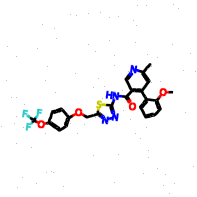 COc1ccccc1-c1cc(C)ncc1C(=O)Nc1nnc(COc2ccc(OC(F)(F)F)cc2)s1